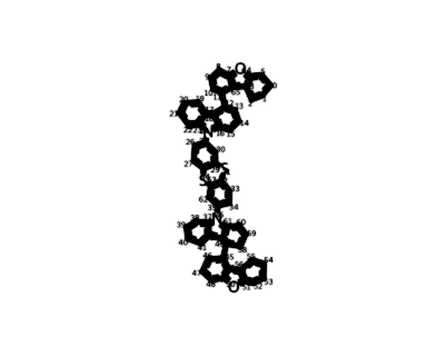 c1ccc2c(c1)oc1cccc(-c3cccc4c3c3ccccc3n4-c3ccc4c(c3)Sc3ccc(-n5c6ccccc6c6c(-c7cccc8oc9ccccc9c78)cccc65)cc3S4)c12